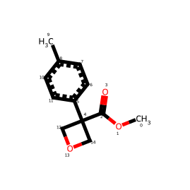 COC(=O)C1(c2ccc(C)cc2)COC1